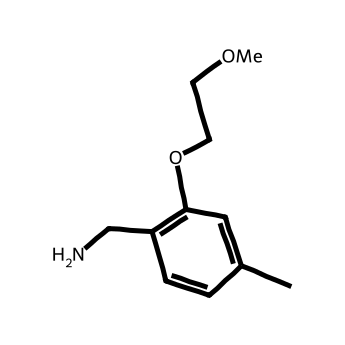 COCCOc1cc(C)ccc1CN